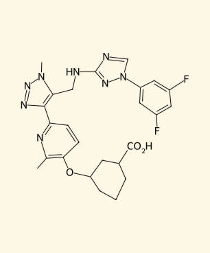 Cc1nc(-c2nnn(C)c2CNc2ncn(-c3cc(F)cc(F)c3)n2)ccc1OC1CCCC(C(=O)O)C1